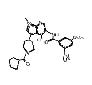 COc1cc(C#N)cc(C(=O)Nc2cnc3c(c(C4CCN(C(=O)C5CCCC5)CC4)cn3C)c2C(F)(F)F)c1